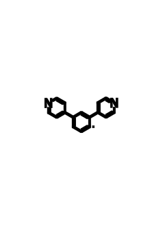 [c]1ccc(-c2ccncc2)cc1-c1ccncc1